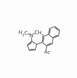 CC(=O)c1cc2ccccc2cc1C1C=CC=C1N(C)C